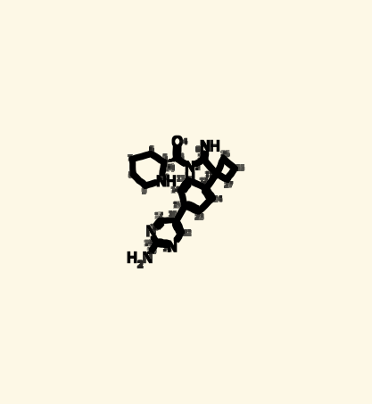 N=C(NC(=O)[C@H]1CCCCN1)C1(c2ccc(-c3cnc(N)nc3)cc2)CCC1